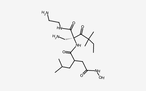 CCC(C)(C)C(=O)[C@@](CN)(NC(=O)C(CC(=O)NO)CC(C)C)C(=O)NCCN